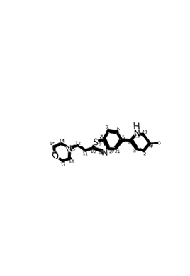 C[C@H]1CC=C(c2ccc3sc(CCN4CCOCC4)nc3c2)NC1